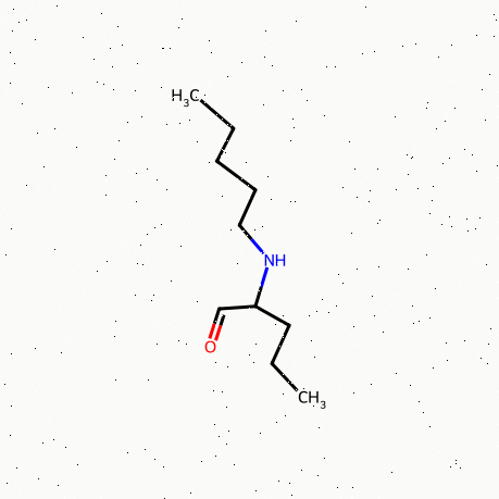 CCCCCNC(C=O)CCC